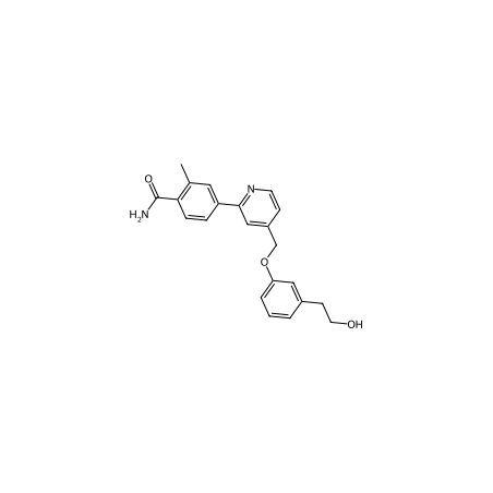 Cc1cc(-c2cc(COc3cccc(CCO)c3)ccn2)ccc1C(N)=O